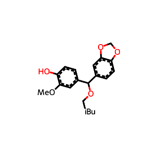 CCC(C)COC(c1ccc(O)c(OC)c1)c1ccc2c(c1)OCO2